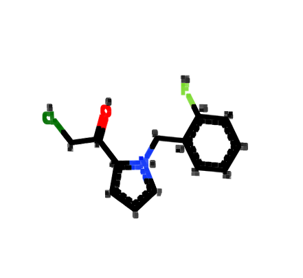 O=C(CCl)c1cccn1Cc1ccccc1F